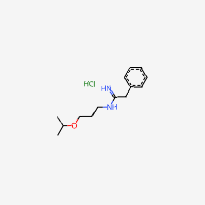 CC(C)OCCCNC(=N)Cc1ccccc1.Cl